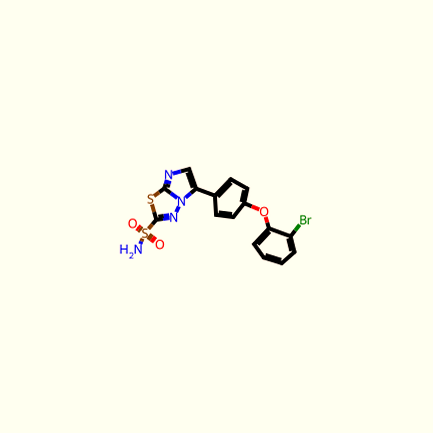 NS(=O)(=O)c1nn2c(-c3ccc(Oc4ccccc4Br)cc3)cnc2s1